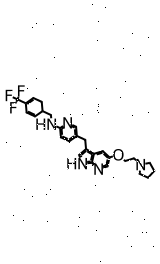 FC(F)(F)C1=CCC(CNc2ccc(Cc3c[nH]c4ncc(OCCN5CCCC5)cc34)cn2)C=C1